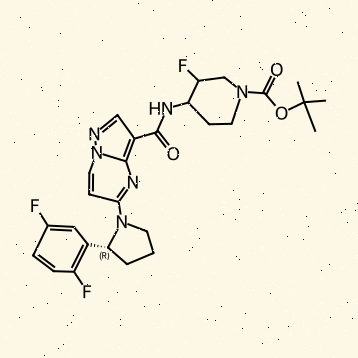 CC(C)(C)OC(=O)N1CCC(NC(=O)c2cnn3ccc(N4CCC[C@@H]4c4cc(F)ccc4F)nc23)C(F)C1